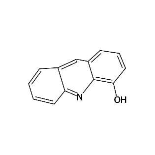 Oc1cccc2[c]c3ccccc3nc12